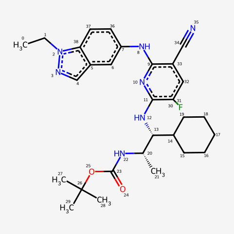 CCn1ncc2cc(Nc3nc(N[C@H](C4CCCCC4)[C@H](C)NC(=O)OC(C)(C)C)c(F)cc3C#N)ccc21